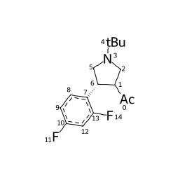 CC(=O)C1CN(C(C)(C)C)C[C@H]1c1ccc(F)cc1F